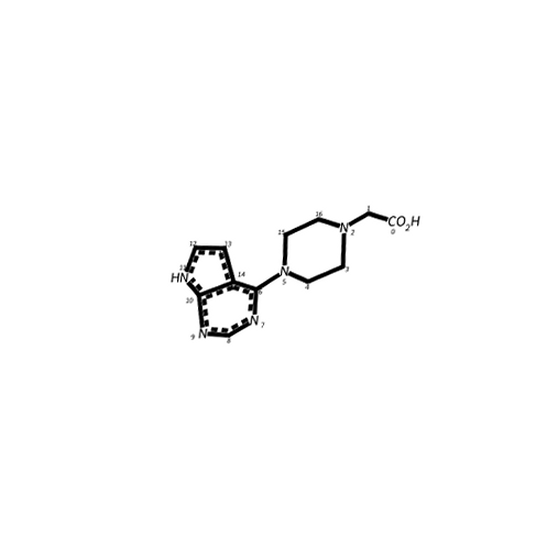 O=C(O)CN1CCN(c2ncnc3[nH]ccc23)CC1